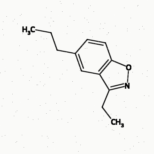 CCCc1ccc2onc(CC)c2c1